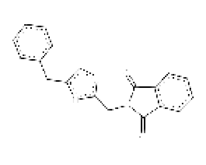 O=C1c2ccccc2C(=O)N1Cc1nc(Cc2ccccc2)co1